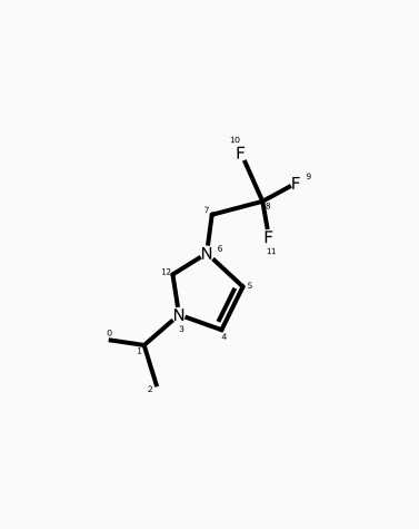 CC(C)N1C=CN(CC(F)(F)F)C1